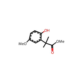 COC(=O)C(C)(C)c1cc(OC)ccc1O